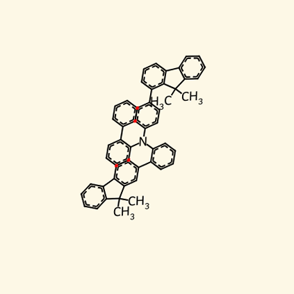 CC1(C)c2ccccc2-c2ccc(-c3ccccc3N(c3ccc(-c4cccc5c4C(C)(C)c4ccccc4-5)cc3)c3ccccc3-c3ccccc3)cc21